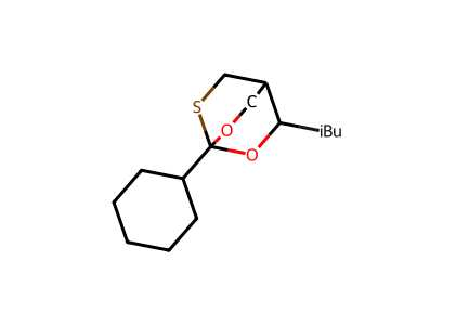 CCC(C)C1OC2(C3CCCCC3)OCC1CS2